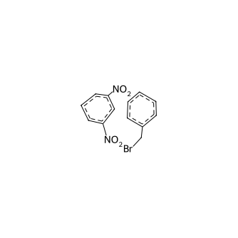 BrCc1ccccc1.O=[N+]([O-])c1cccc([N+](=O)[O-])c1